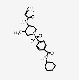 C=CC(=O)NC1CCN(S(=O)(=O)c2ccc(C(=O)NC3CCCCC3)cc2)CC1C